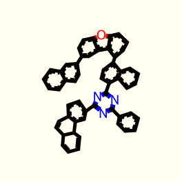 C1=CC2C=Cc3ccc(-c4nc(-c5ccccc5)nc(-c5ccc(-c6cccc7oc8ccc(-c9ccc%10ccccc%10c9)cc8c67)c6ccccc56)n4)cc3C2C=C1